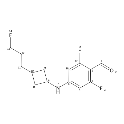 O=Cc1c(F)cc(NC2CC(CCCF)C2)cc1F